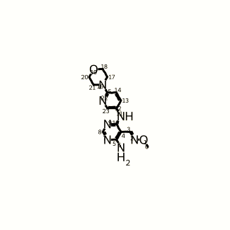 CO/N=C/c1c(N)ncnc1Nc1ccc(N2CCOCC2)nc1